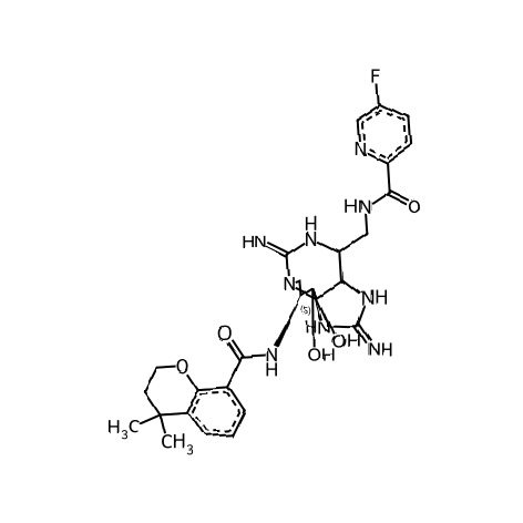 CC1(C)CCOc2c(C(=O)N[C@H]3CN4C(=N)NC(CNC(=O)c5ccc(F)cn5)C5NC(=N)NC54C3(O)O)cccc21